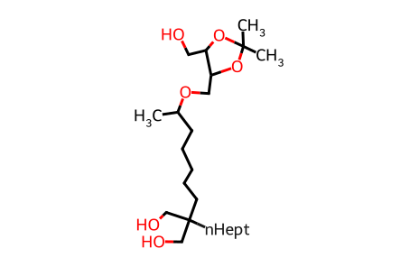 CCCCCCCC(CO)(CO)CCCCCC(C)OCC1OC(C)(C)OC1CO